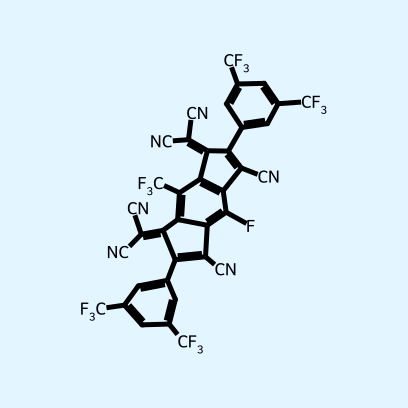 N#CC(C#N)=C1C(c2cc(C(F)(F)F)cc(C(F)(F)F)c2)=C(C#N)c2c(F)c3c(c(C(F)(F)F)c21)C(=C(C#N)C#N)C(c1cc(C(F)(F)F)cc(C(F)(F)F)c1)=C3C#N